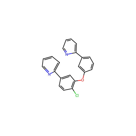 Clc1ccc(-c2ccccn2)cc1Oc1cccc(-c2ccccn2)c1